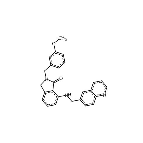 COc1cccc(CN2Cc3cccc(NCc4ccc5ncccc5c4)c3C2=O)c1